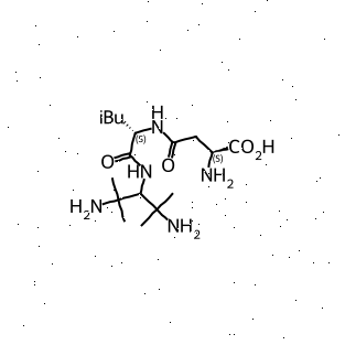 CCC(C)[C@H](NC(=O)C[C@H](N)C(=O)O)C(=O)NC(C(C)(C)N)C(C)(C)N